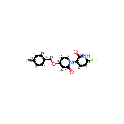 O=c1[nH]c(F)ccc1-n1ccc(OCc2ccc(F)cc2)cc1=O